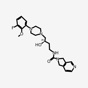 COc1c(F)cccc1N1CCN(C[C@H](O)CCNC(=O)N2Cc3ccncc3C2)CC1